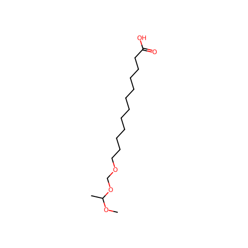 COC(C)OCOCCCCCCCCCCCC(=O)O